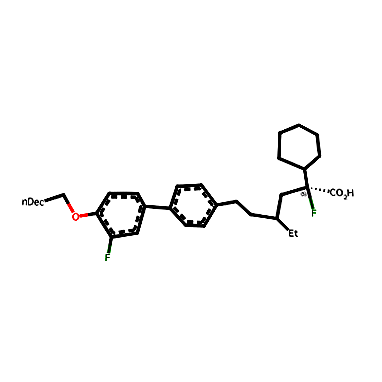 CCCCCCCCCCCOc1ccc(-c2ccc(CCC(CC)C[C@@](F)(C(=O)O)C3CCCCC3)cc2)cc1F